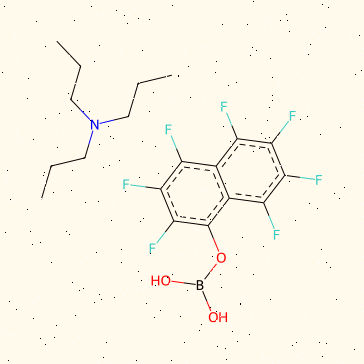 CCCN(CCC)CCC.OB(O)Oc1c(F)c(F)c(F)c2c(F)c(F)c(F)c(F)c12